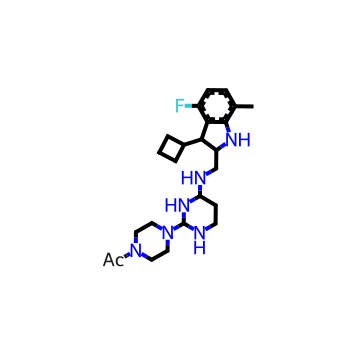 CC(=O)N1CCN(C2NCCC(NCC3Nc4c(C)ccc(F)c4C3C3CCC3)N2)CC1